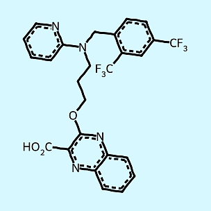 O=C(O)c1nc2ccccc2nc1OCCCN(Cc1ccc(C(F)(F)F)cc1C(F)(F)F)c1ccccn1